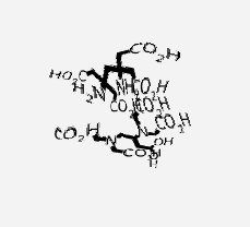 NC(CC(=O)O)(CC(=O)O)CC(N)(CC(=O)O)CC(=O)O.O=C(O)CN(CC(=O)O)CC(CC(O)O)N(CC(=O)O)CC(=O)O